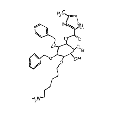 CCOC1C(O)C(OCCCCCCN)C(OCc2ccccc2)C(OCc2ccccc2)C1OC(=O)c1nc(C)c[nH]1